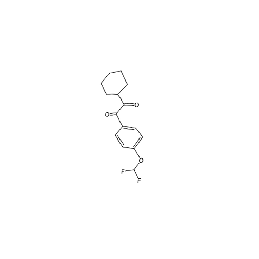 O=C(C(=O)C1CCCCC1)c1ccc(OC(F)F)cc1